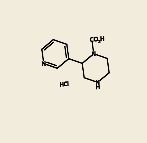 Cl.O=C(O)N1CCNCC1c1cccnc1